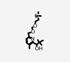 Cc1ccc(COCOCC[Si](C)(C)C)nc1C(O)C(C)(C)C